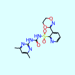 Cc1cc(C)nc(NC(=O)NS(=O)(=O)c2ncccc2C2=NOCCO2)n1